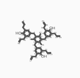 C=CCc1cc(Cc2c(C)c(Cc3cc(CC=C)c(O)c(CC=C)c3)c(C)c(Cc3cc(CC=C)c(O)c(CC=C)c3)c2C)cc(CC=C)c1O